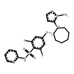 Cn1nccc1[C@H]1CCCCC[C@@H]1Oc1cc(F)c(S(=O)(=O)Nc2ccccn2)c(F)c1